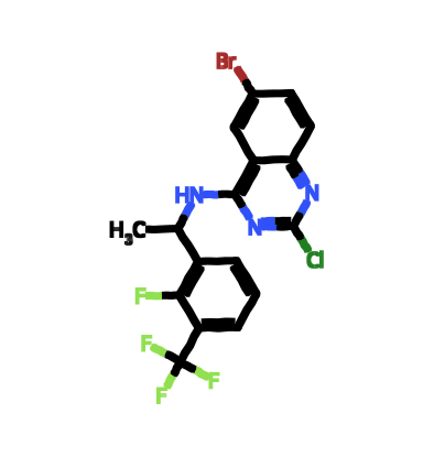 CC(Nc1nc(Cl)nc2ccc(Br)cc12)c1cccc(C(F)(F)F)c1F